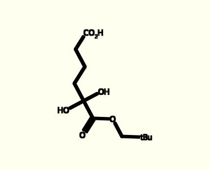 CC(C)(C)COC(=O)C(O)(O)CCCC(=O)O